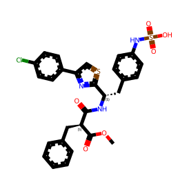 COC(=O)[C@@H](Cc1ccccc1)C(=O)N[C@@H](Cc1ccc(NS(=O)(=O)O)cc1)c1nc(-c2ccc(Cl)cc2)cs1